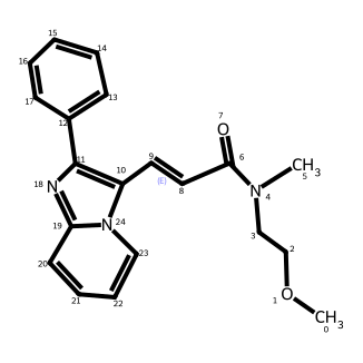 COCCN(C)C(=O)/C=C/c1c(-c2ccccc2)nc2ccccn12